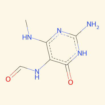 CNc1nc(N)[nH]c(=O)c1NC=O